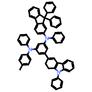 Cc1ccc(N(c2ccccc2)c2cc(C3=Cc4c(n(-c5ccccc5)c5ccccc45)CC3)cc(N(c3ccccc3)c3ccc4c(c3)C(c3ccccc3)(C3C=CC=CC3)c3ccccc3-4)c2)cc1